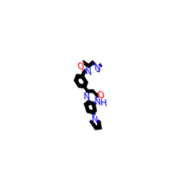 CN(C)Cc1coc(-c2cccc(C3=Nc4ccc(-n5cccc5)cc4NC(=O)C3)c2)n1